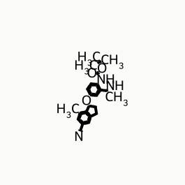 CC(=N)c1cc(OC2CCc3cc(C#N)cc(C)c32)ccc1NC(=O)OC(C)(C)C